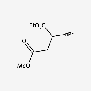 CCCC(CC(=O)OC)C(=O)OCC